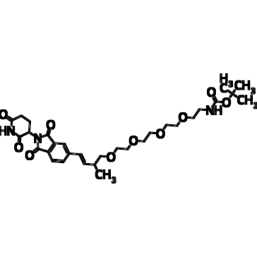 CC(/C=C/c1ccc2c(c1)C(=O)N(C1CCC(=O)NC1=O)C2=O)COCCOCCOCCOCCNC(=O)OC(C)(C)C